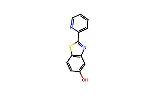 Oc1ccc2sc(-c3ccccn3)nc2c1